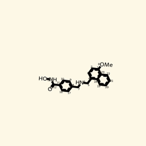 COc1ccc(CNCc2ccc(C(=O)NO)cc2)c2ccccc12